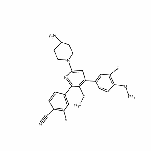 COc1ccc(-c2cc(N3CCC(N)CC3)nc(-c3ccc(C#N)c(F)c3)c2OC)cc1F